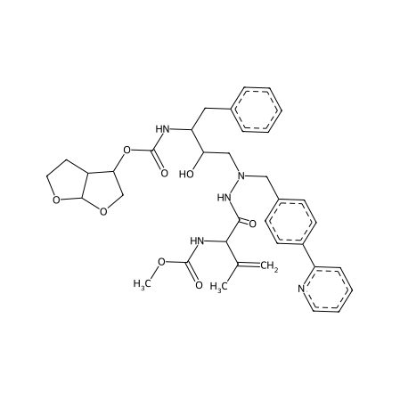 C=C(C)C(NC(=O)OC)C(=O)NN(Cc1ccc(-c2ccccn2)cc1)CC(O)C(Cc1ccccc1)NC(=O)OC1COC2OCCC12